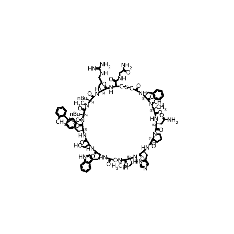 CCCC[C@H]1C(=O)N(C)[C@@H](CCCC)C(=O)N[C@@H](CCCNC(=N)N)C(=O)NC(C(=O)NCC(N)=O)CSCC(=O)N[C@@H](Cc2ccccc2)C(=O)N(C)[C@@H](C)C(=O)N[C@@H](CC(N)=O)C(=O)N2CCC[C@H]2C(=O)N[C@@H](Cc2cnc[nH]2)C(=O)N[C@@H](CC(C)C)C(=O)N(C)CC(=O)N[C@@H](Cc2c[nH]c3ccccc23)C(=O)NC(CO)C(=O)N[C@@H](Cc2ccc(-c3ccccc3C)cc2)C(=O)N1C